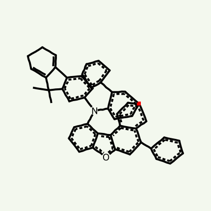 CC1(C)C2=CCCC=C2c2ccc(N(c3ccccc3-c3ccccc3)c3cccc4oc5cc(-c6ccccc6)c6ccccc6c5c34)cc21